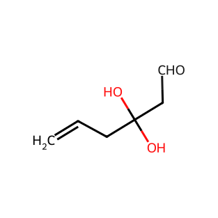 C=CCC(O)(O)CC=O